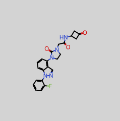 O=C1CC(NC(=O)CN2CCN(c3cccc4c3cnn4-c3ccccc3F)C2=O)C1